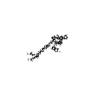 O=C(NCc1cccc(C(F)(F)F)c1)c1ccnc(-c2cc(N3CCCCC3)ccc2NC(=O)c2cccc(CSCCOCCOCCOCCOCCC(=O)N(CCO)CCO)c2)c1